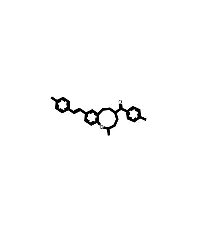 Cc1ccc(/C=C/c2ccc3c(c2)CCC(C(=O)c2ccc(C)cc2)CCC(C)O3)cc1